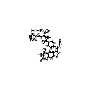 C#CCN(c1ccc(C(=O)N[C@@H](CSc2nnn[nH]2)C(=O)O)cc1)C1CCc2cc3nc(C)[nH]c(=O)c3cc21